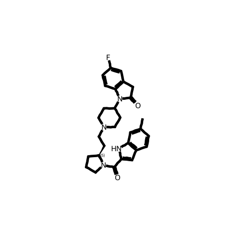 Cc1ccc2cc(C(=O)N3CCC[C@H]3CCN3CCC(N4C(=O)Cc5cc(F)ccc54)CC3)[nH]c2c1